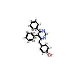 Brc1ccc(Cc2ncnc(-c3ccccc3)c2-c2ccccc2)cc1